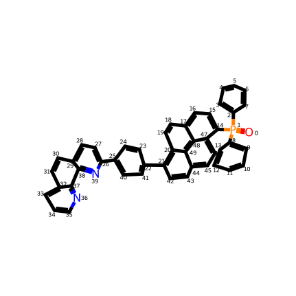 O=P(c1ccccc1)(c1ccccc1)c1ccc2ccc3c(-c4ccc(-c5ccc6ccc7cccnc7c6n5)cc4)ccc4ccc1c2c43